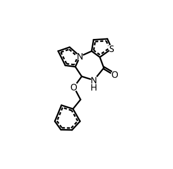 O=C1NC(OCc2ccccc2)c2cccn2-c2ccsc21